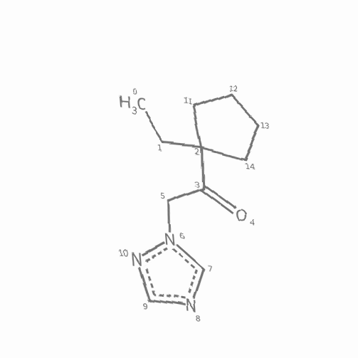 CCC1(C(=O)Cn2cncn2)CCCC1